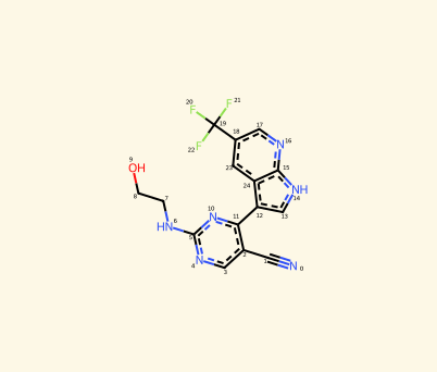 N#Cc1cnc(NCCO)nc1-c1c[nH]c2ncc(C(F)(F)F)cc12